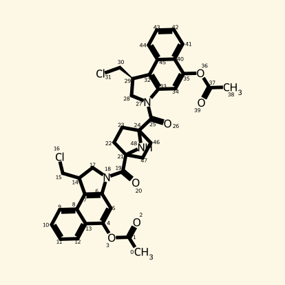 CC(=O)Oc1cc2c(c3ccccc13)C(CCl)CN2C(=O)C12CCC(C(=O)N3C[C@@H](CCl)c4c3cc(OC(C)=O)c3ccccc43)(CC1)N2